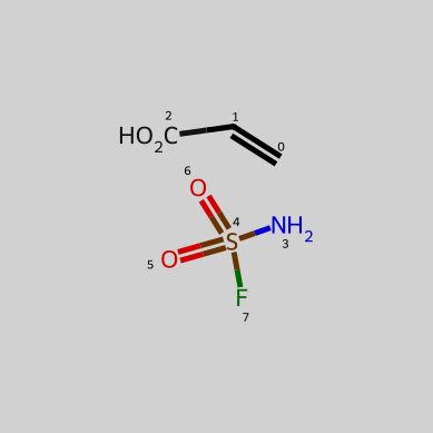 C=CC(=O)O.NS(=O)(=O)F